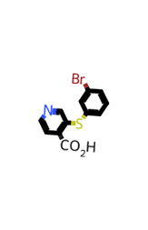 O=C(O)c1ccncc1Sc1cccc(Br)c1